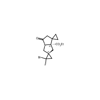 CCOC(=O)[C@]12C[C@@]3(CN1C(=O)CC21CC1)CC3(F)Br